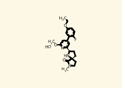 CCOc1ccc(F)c(-c2cc(OC)nc([C@H]3CC[C@]4(CCN(C)C4=O)N3)c2)c1.Cl